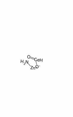 [NH2][Zn+].[O]=[GeH][O-]